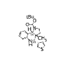 CC(C)(C)OC(=O)N1CC[C@@]2(C)[C@@H]1c1ccccc1N[C@H]2c1ccsc1